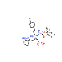 CC(C)(C)OC(=O)NCC(CCc1ccc(Cl)cc1)N[C@@H](CC(=O)O)Cc1c[nH]c2ccccc12